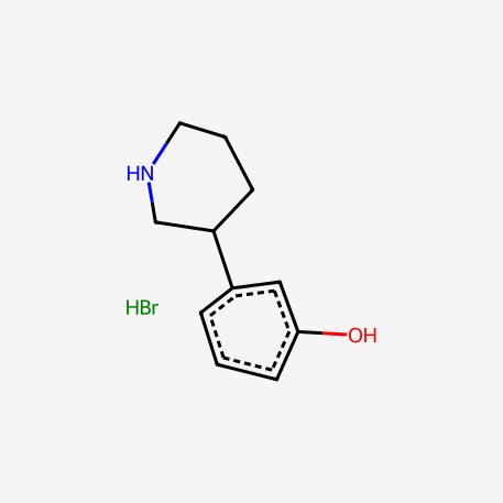 Br.Oc1cccc(C2CCCNC2)c1